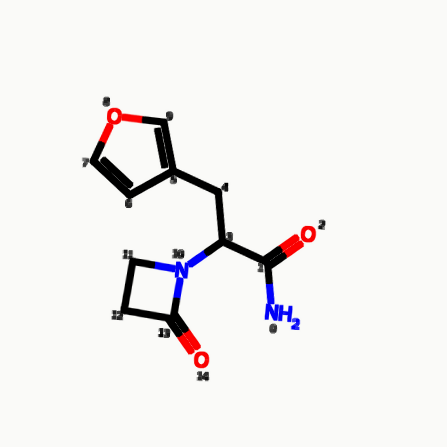 NC(=O)C(Cc1ccoc1)N1CCC1=O